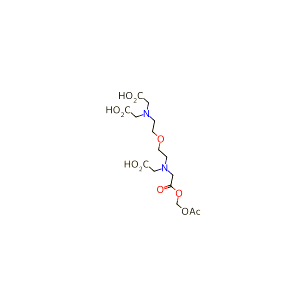 CC(=O)OCOC(=O)CN(CCOCCN(CC(=O)O)CC(=O)O)CC(=O)O